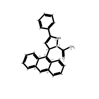 CC(=O)N1NC(c2ccccc2)=CC1c1c2ccccc2cc2ccccc12